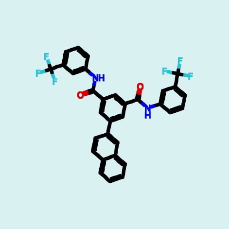 O=C(Nc1cccc(C(F)(F)F)c1)c1cc(C(=O)Nc2cccc(C(F)(F)F)c2)cc(-c2ccc3ccccc3c2)c1